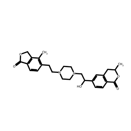 Cc1c(CCN2CCN(CC(O)c3ccc4c(c3)CC(C)OC4=O)CC2)ccc2c1COC2=O